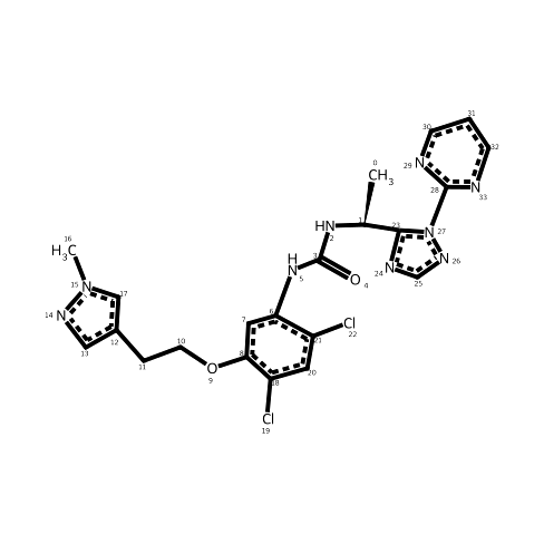 C[C@H](NC(=O)Nc1cc(OCCc2cnn(C)c2)c(Cl)cc1Cl)c1ncnn1-c1ncccn1